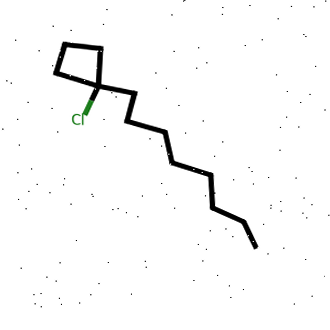 CCCCCCCCC1(Cl)CCC1